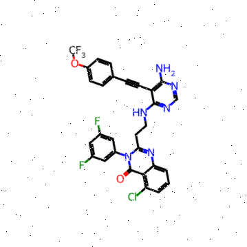 Nc1ncnc(NCCc2nc3cccc(Cl)c3c(=O)n2-c2cc(F)cc(F)c2)c1C#Cc1ccc(OC(F)(F)F)cc1